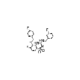 CC(Cc1ccc(F)cc1)c1c(F)ccc2c1NC(NCc1cccc(F)c1)=NS2(=O)=O